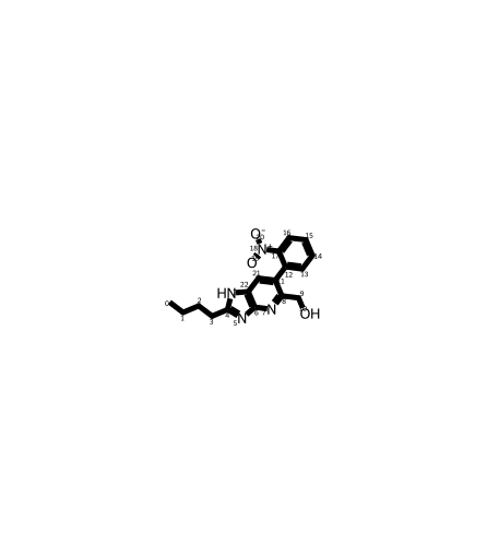 CCCCc1nc2nc(CO)c(-c3ccccc3[N+](=O)[O-])cc2[nH]1